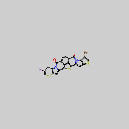 O=c1c2ccc3c(=O)n4c(cc5scc(Br)c54)c4sc(c2c34)c2cc3c(n12)CC(I)=CS3